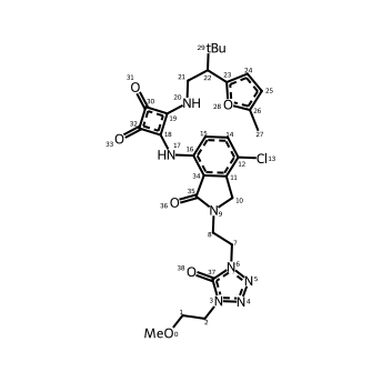 COCCn1nnn(CCN2Cc3c(Cl)ccc(Nc4c(NCC(c5ccc(C)o5)C(C)(C)C)c(=O)c4=O)c3C2=O)c1=O